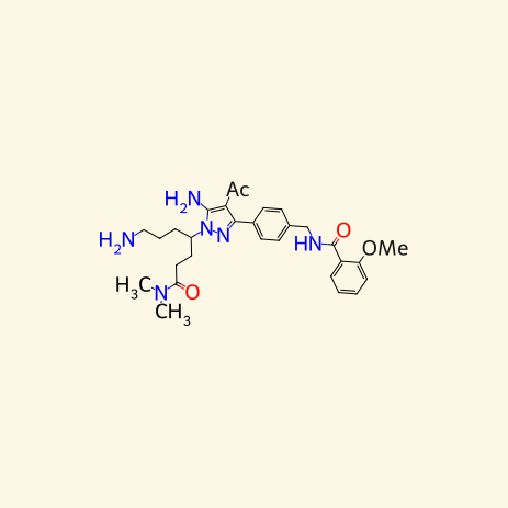 COc1ccccc1C(=O)NCc1ccc(-c2nn(C(CCCN)CCC(=O)N(C)C)c(N)c2C(C)=O)cc1